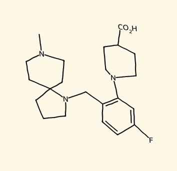 CN1CCC2(CCCN2Cc2ccc(F)cc2N2CCC(C(=O)O)CC2)CC1